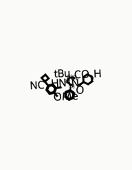 COc1ccc(C2(C#N)CCC2)cc1CN[C@H]1[C@H](C(C)(C)C)[C@@H](C(=O)O)N(C(=O)C2CCCCC2)[C@H]1c1ccccc1